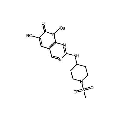 CCC(C)n1c(=O)c(C#N)cc2cnc(NC3CCN(S(C)(=O)=O)CC3)nc21